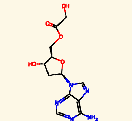 Nc1ncnc2c1ncn2[C@H]1C[C@H](O)[C@@H](COC(=O)CO)O1